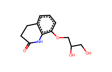 O=C1CCc2cccc(OCC(O)CO)c2N1